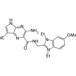 CCn1c(CNC(=O)c2nc3c(C#N)c[nH]c3nc2N)[n+](CC)c2ccc(OC)cc21